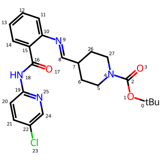 CC(C)(C)OC(=O)N1CCC(/C=N/c2ccccc2C(=O)Nc2ccc(Cl)cn2)CC1